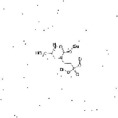 CCOP(=O)(CCN(CC(N)C(=O)O)C(=O)OC(C)(C)C)OCC